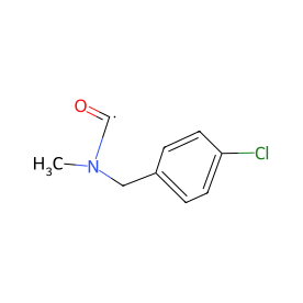 CN([C]=O)Cc1ccc(Cl)cc1